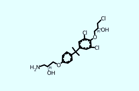 CC(C)(c1ccc(OC[C@H](O)CN)cc1)c1cc(Cl)c(OC[C@@H](O)CCl)c(Cl)c1